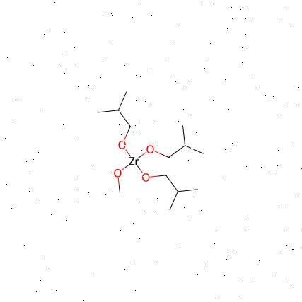 C[O][Zr]([O]CC(C)C)([O]CC(C)C)[O]CC(C)C